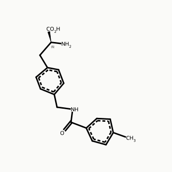 Cc1ccc(C(=O)NCc2ccc(C[C@H](N)C(=O)O)cc2)cc1